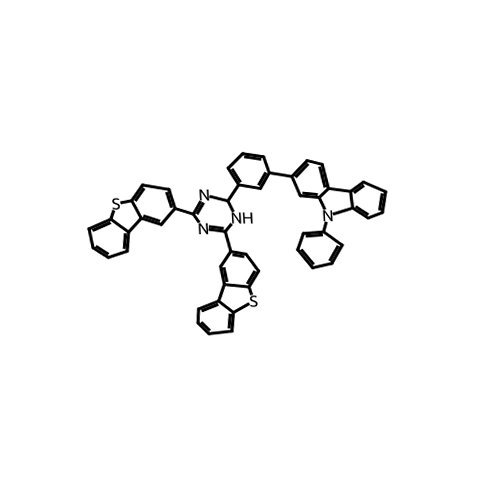 c1ccc(-n2c3ccccc3c3ccc(-c4cccc(C5N=C(c6ccc7sc8ccccc8c7c6)N=C(c6ccc7sc8ccccc8c7c6)N5)c4)cc32)cc1